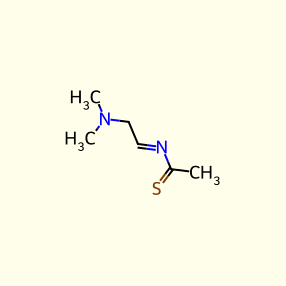 CC(=S)N=CCN(C)C